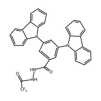 O=C(NNC(=O)C(F)(F)F)c1cc(-n2c3ccccc3c3ccccc32)cc(-n2c3ccccc3c3ccccc32)c1